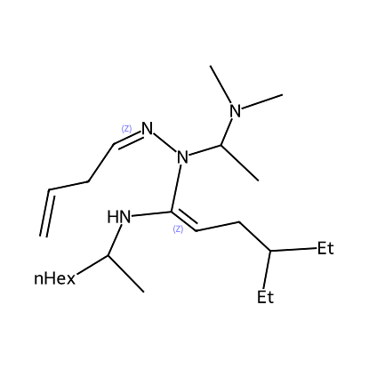 C=CC/C=N\N(/C(=C\CC(CC)CC)NC(C)CCCCCC)C(C)N(C)C